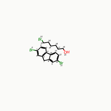 Brc1ccc2c(c1)Cc1cc(Br)ccc1-2.OCCCCCCBr